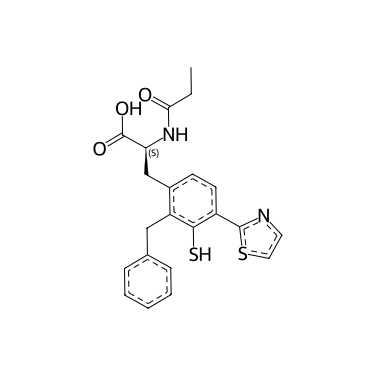 CCC(=O)N[C@@H](Cc1ccc(-c2nccs2)c(S)c1Cc1ccccc1)C(=O)O